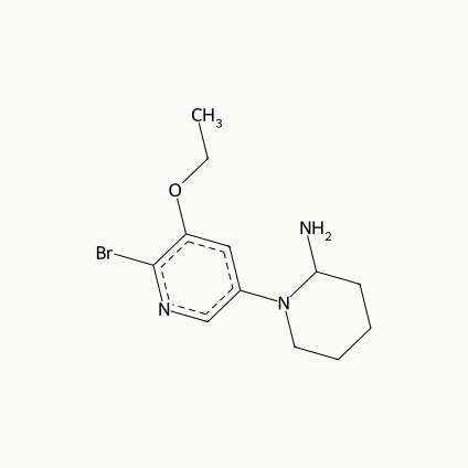 CCOc1cc(N2CCCCC2N)cnc1Br